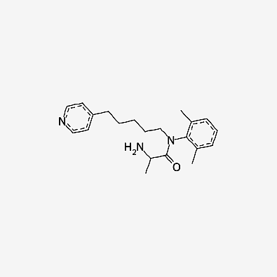 Cc1cccc(C)c1N(CCCCCc1ccncc1)C(=O)C(C)N